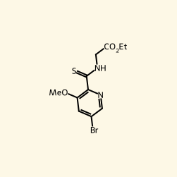 CCOC(=O)CNC(=S)c1ncc(Br)cc1OC